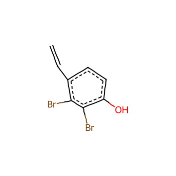 C=Cc1ccc(O)c(Br)c1Br